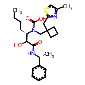 CCCC[C@@H](C(O)C(=O)N[C@H](C)c1ccccc1)N(CC1(Cc2nc(C)cs2)CCC1)C(=O)O